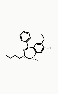 CCCC[C@@H]1C[S@+]([O-])c2cc(O)c(OC)cc2C(c2ccccc2)=N1